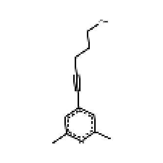 Cc1cc(C#CCCCO)cc(C)n1